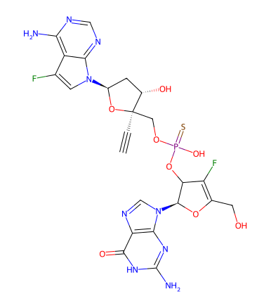 C#C[C@]1(COP(O)(=S)OC2C(F)=C(CO)O[C@H]2n2cnc3c(=O)[nH]c(N)nc32)O[C@@H](n2cc(F)c3c(N)ncnc32)C[C@@H]1O